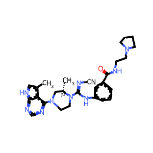 Cc1c[nH]c2ncnc(N3CCN(C(=NC#N)Nc4cccc(C(=O)NCCN5CCCC5)c4)[C@@H](C)C3)c12